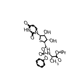 CC(C)OC(=O)[C@@H](C)N[P@@](=O)(OC[C@H]1S[C@@H](n2ccc(=O)[nH]c2=O)[C@H](O)[C@@H]1O)Oc1ccccc1